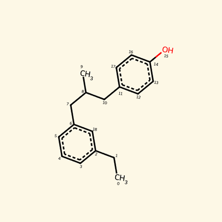 CCc1cccc(CC(C)Cc2ccc(O)cc2)c1